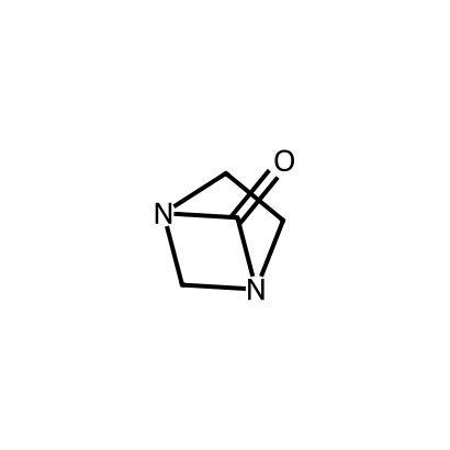 O=C1N2CCN1C2